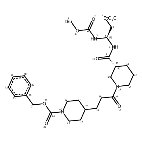 CCOC(=O)C[C@H](NC(=O)OC(C)(C)C)NC(=O)[C@@H]1CCCN(C(=O)CCC2CCN(C(=O)OCc3ccccc3)CC2)C1